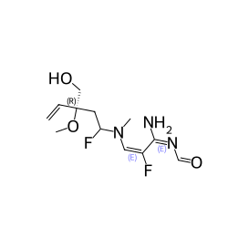 C=C[C@@](CO)(CC(F)N(C)/C=C(F)\C(N)=N/C=O)OC